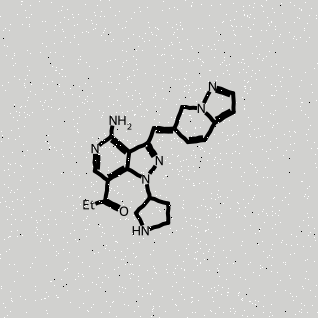 CCC(=O)c1cnc(N)c2c(C=C3C=Cc4ccnn4C3)nn(C3CCNC3)c12